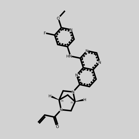 C=CC(=O)N1C[C@@H]2C[C@H]1CN2c1ccc2ncnc(Nc3cnc(OC)c(F)c3)c2n1